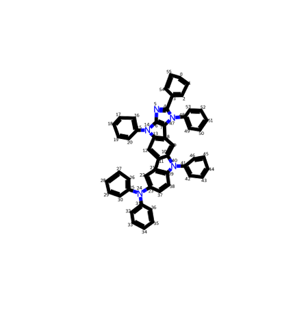 c1ccc(-c2nc3c(c4cc5c(cc4n3-c3ccccc3)c3cc(N(c4ccccc4)c4ccccc4)ccc3n5-c3ccccc3)n2-c2ccccc2)cc1